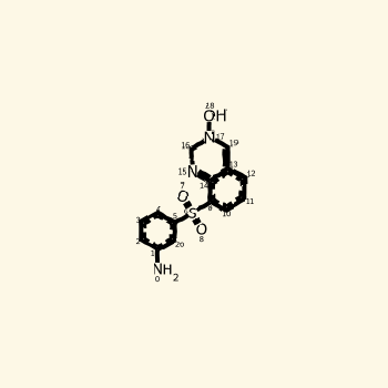 Nc1cccc(S(=O)(=O)c2cccc3c2=NCN(O)C=3)c1